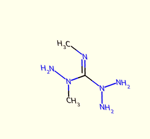 C/N=C(\N(C)N)N(N)N